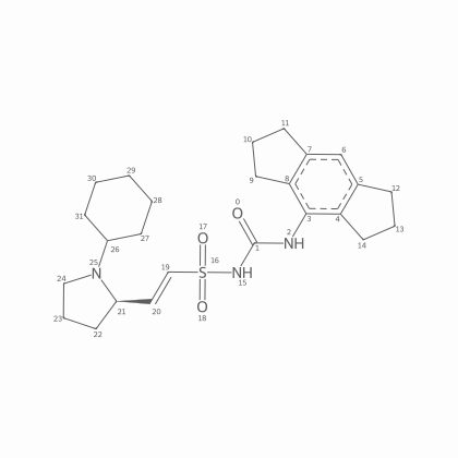 O=C(Nc1c2c(cc3c1CCC3)CCC2)NS(=O)(=O)/C=C/[C@H]1CCCN1C1CCCCC1